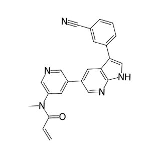 C=CC(=O)N(C)c1cncc(-c2cnc3[nH]cc(-c4cccc(C#N)c4)c3c2)c1